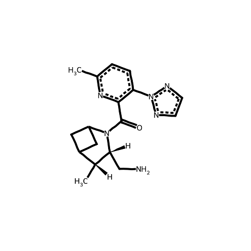 Cc1ccc(-n2nccn2)c(C(=O)N2C3CC(C3)[C@@H](C)[C@H]2CN)n1